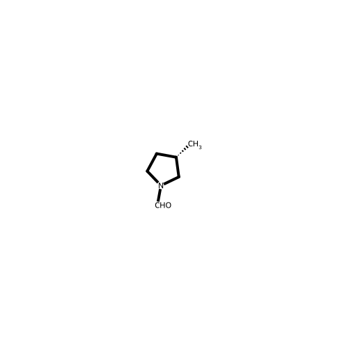 C[C@H]1CCN(C=O)C1